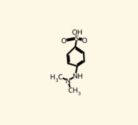 CN(C)Nc1ccc(S(=O)(=O)O)cc1